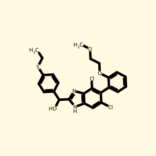 CCSc1ccc(C(O)c2nc3c(Cl)c(-c4ccccc4OCCOC)c(Cl)cc3[nH]2)cc1